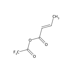 CC=CC(=O)OC(=O)C(F)(F)F